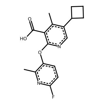 Cc1nc(F)ccc1Oc1ncc(C2CCC2)c(C)c1C(=O)O